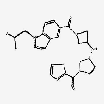 O=C(c1ccc2c(ccn2CC(F)F)c1)N1CC(N[C@@H]2CCN(C(=O)c3nccs3)C2)C1